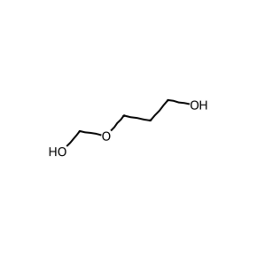 OCCCOCO